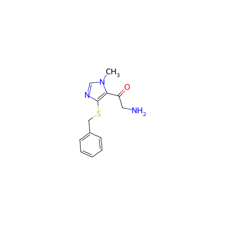 Cn1cnc(SCc2ccccc2)c1C(=O)CN